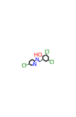 Oc1c(Cl)cc(Cl)cc1/C=N/c1ccc(Cl)cn1